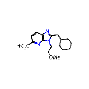 COCCn1c(CC2CCCCC2)nc2ccc(C(=O)O)nc21